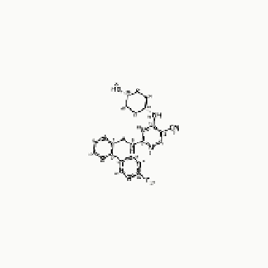 N#Cc1cnc(NCc2ccccc2-c2ccc(F)cc2)nc1N[C@H]1CC[C@@H](O)CC1